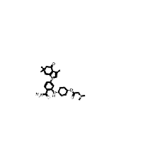 Cc1cn(-c2ccc(C(N)=O)c(N[C@H]3CC[C@H](OC(=O)CN(C)C)CC3)c2)c2c1C(=O)CC(C)(C)C2